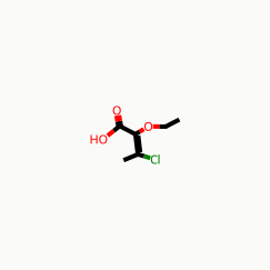 CCOC(C(=O)O)=C(C)Cl